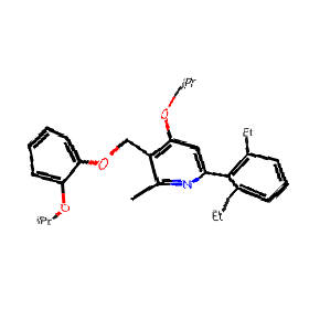 CCc1cccc(CC)c1-c1cc(OC(C)C)c(COc2ccccc2OC(C)C)c(C)n1